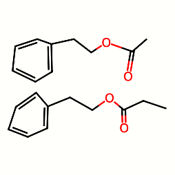 CC(=O)OCCc1ccccc1.CCC(=O)OCCc1ccccc1